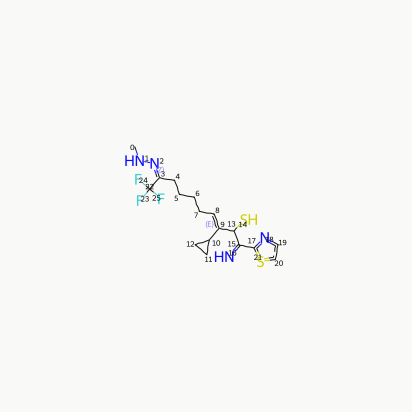 CN/N=C(/CCCC/C=C(\C1CC1)C(S)C(=N)c1nccs1)C(F)(F)F